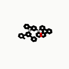 CC1CC=CC=C1c1cc(-c2ccccc2)cc(-n2c3ccccc3c3ccc(N(c4ccccc4)c4cccc5c6ccccc6c6ccccc6c45)cc32)c1